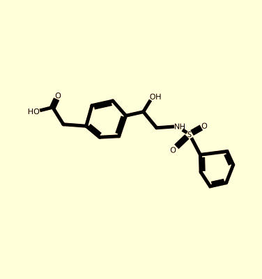 O=C(O)Cc1ccc(C(O)CNS(=O)(=O)c2ccccc2)cc1